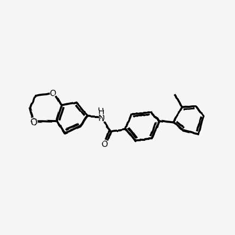 Cc1ccccc1-c1ccc(C(=O)Nc2ccc3c(c2)OCCO3)cc1